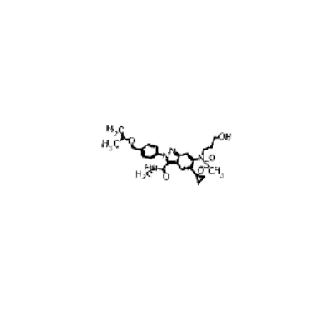 CNC(=O)c1c2cc(C3CC3)c(N(CCCO)S(C)(=O)=O)cc2nn1-c1ccc(COC(C)C)cc1